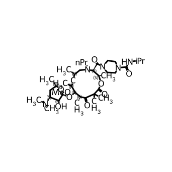 CCCN1C[C@H](C)C[C@@](C)(OC)[C@H](O[C@@H]2O[C@H](C)C[C@H](N(C)C)[C@H]2O)[C@@H](C)C(=O)C(C)(C)C(=O)O[C@@H](C)[C@@H]1C(=O)N1CCN(C(=O)NC(C)C)CC1